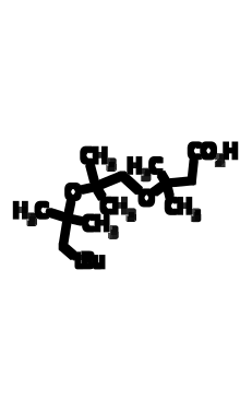 CC(C)(C)CC(C)(C)OC(C)(C)COC(C)(C)CC(=O)O